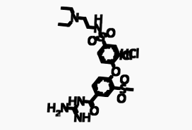 CCN(CC)CCNS(=O)(=O)c1ccc(Oc2ccc(C(=O)NC(=N)N)cc2S(C)(=O)=O)cc1.Cl.Cl